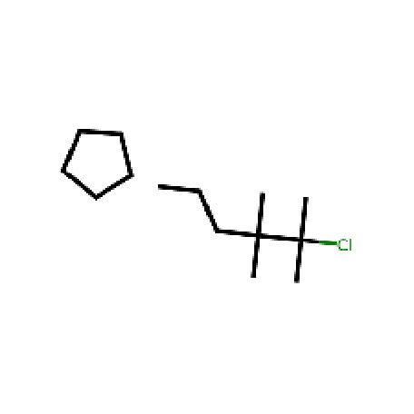 C1CCCC1.CCCC(C)(C)C(C)(C)Cl